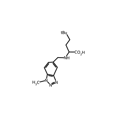 Cn1nnc2cc(CNC(CCC(C)(C)C)C(=O)O)ccc21